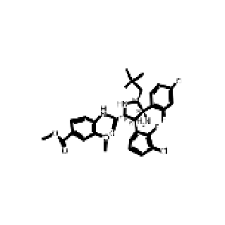 COC(=O)c1ccc(NC(=O)[C@@H]2N[C@@H](CC(C)(C)C)[C@](N)(c3ccc(Cl)cc3F)[C@H]2c2cccc(Cl)c2F)c(OC)c1